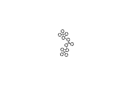 c1ccc(N(c2cccc(-c3cccc4c3-c3ccccc3C4(c3ccccc3)c3ccccc3)c2)c2cccc(-c3cccc4c3-c3ccccc3C4(c3ccccc3)c3ccccc3)c2)cc1